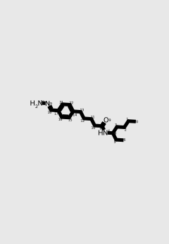 CCCCC(CC)NC(=O)CCCCc1ccc(C=NN)cc1